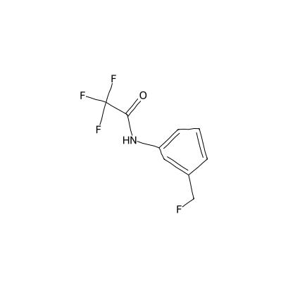 O=C(Nc1cccc(CF)c1)C(F)(F)F